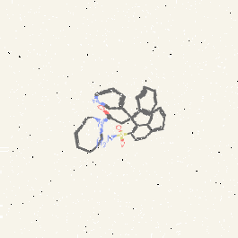 NS(=O)(=O)c1ccc2ccccc2c1C(CC(=O)N1CCCCC1)(c1ccccc1)c1cccnc1